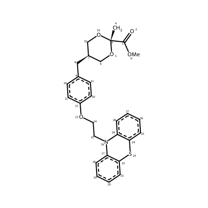 COC(=O)[C@]1(C)OC[C@@H](Cc2ccc(OCCN3c4ccccc4Sc4ccccc43)cc2)CO1